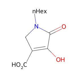 CCCCCCN1CC(C(=O)O)=C(O)C1=O